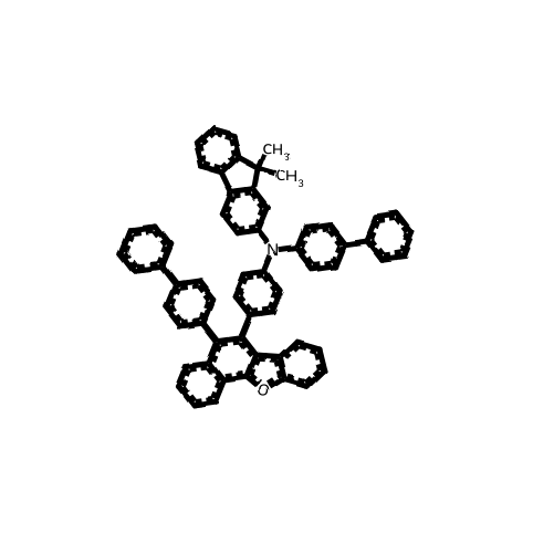 CC1(C)c2ccccc2-c2ccc(N(c3ccc(-c4ccccc4)cc3)c3ccc(-c4c(-c5ccc(-c6ccccc6)cc5)c5ccccc5c5oc6ccccc6c45)cc3)cc21